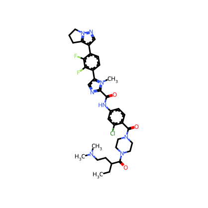 CCC(CCN(C)C)C(=O)N1CCN(C(=O)c2ccc(NC(=O)c3ncc(-c4ccc(-c5cnn6c5CCC6)c(F)c4F)n3C)cc2Cl)CC1